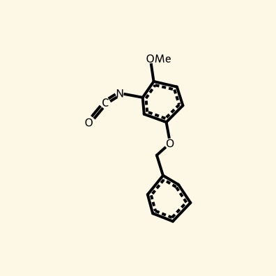 COc1ccc(OCc2ccccc2)cc1N=C=O